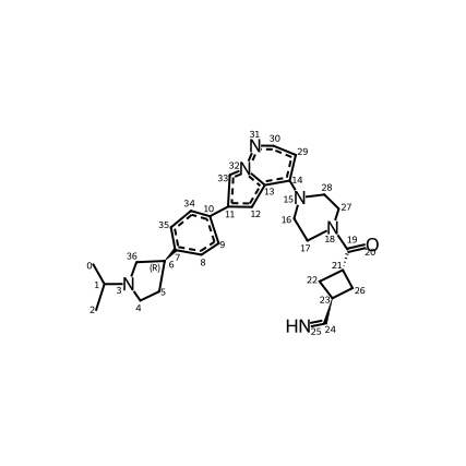 CC(C)N1CC[C@H](c2ccc(-c3cc4c(N5CCN(C(=O)[C@H]6C[C@H](C=N)C6)CC5)ccnn4c3)cc2)C1